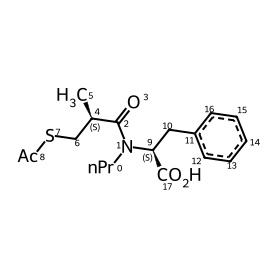 CCCN(C(=O)[C@H](C)CSC(C)=O)[C@@H](Cc1ccccc1)C(=O)O